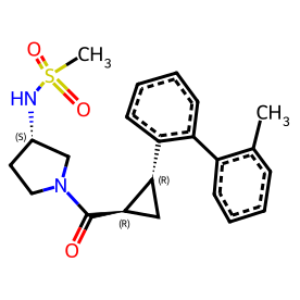 Cc1ccccc1-c1ccccc1[C@@H]1C[C@H]1C(=O)N1CC[C@H](NS(C)(=O)=O)C1